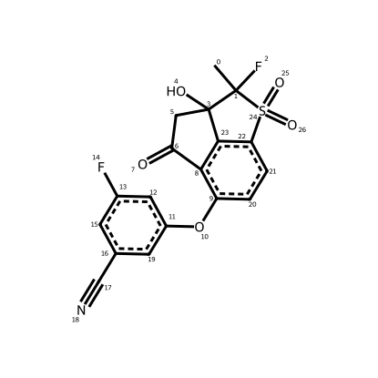 CC1(F)C2(O)CC(=O)c3c(Oc4cc(F)cc(C#N)c4)ccc(c32)S1(=O)=O